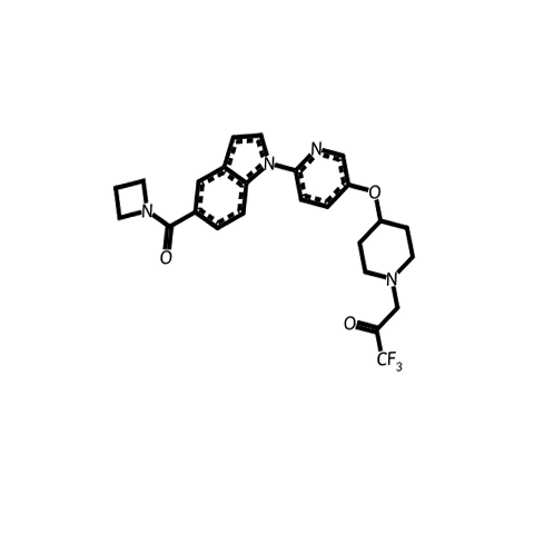 O=C(c1ccc2c(ccn2-c2ccc(OC3CCN(CC(=O)C(F)(F)F)CC3)cn2)c1)N1CCC1